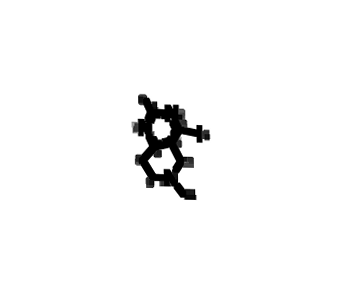 Cc1nc(I)c2c(n1)CCN(C)C2